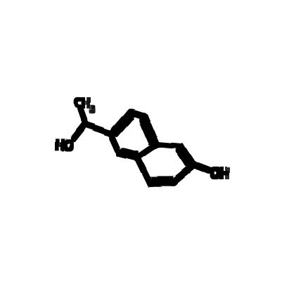 CC(O)c1ccc2cc(O)ccc2c1